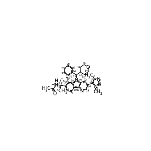 CC(=O)NC(C)(C)c1ccc2c3ncc(-c4c(C)nnn4C)cc3n(C(c3ccccc3)C3CCOCC3)c2c1F